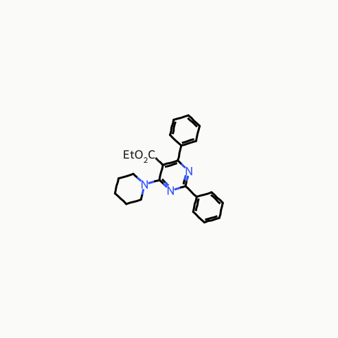 CCOC(=O)c1c(-c2ccccc2)nc(-c2ccccc2)nc1N1CCCCC1